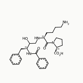 NCCCC[C@H](NCC(O)[C@H](Cc1ccccc1)NC(=O)c1ccccc1)C(=O)N1CCC[C@H]1C(=O)O